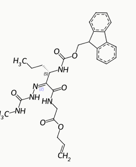 C=CCOC(=O)CNC(=O)/C(=N\NC(=O)NC)[C@H](CCC)NC(=O)OCC1c2ccccc2-c2ccccc21